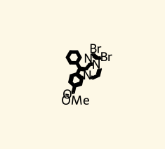 COOCc1ccc2c(C3CCCCC3)c3n(c2c1)CC=Cn1c-3nc(Br)c1Br